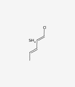 C/C=C/C=C/Cl.[SiH4]